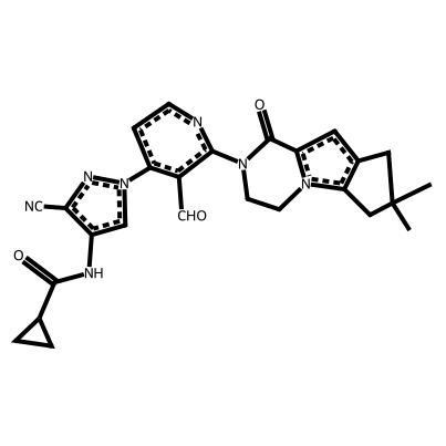 CC1(C)Cc2cc3n(c2C1)CCN(c1nccc(-n2cc(NC(=O)C4CC4)c(C#N)n2)c1C=O)C3=O